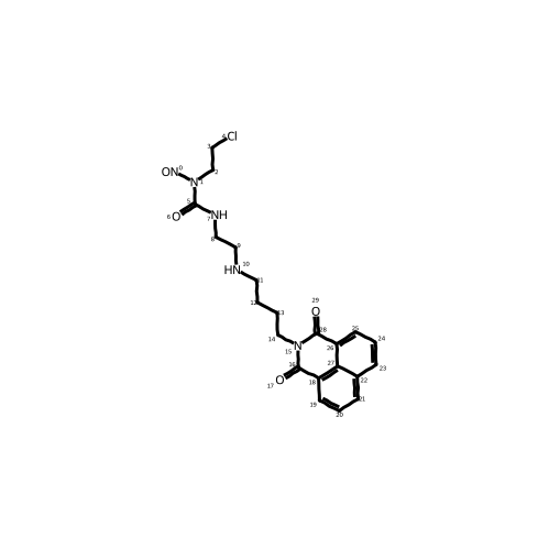 O=NN(CCCl)C(=O)NCCNCCCCN1C(=O)c2cccc3cccc(c23)C1=O